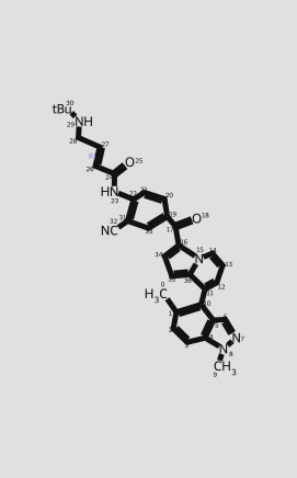 Cc1ccc2c(cnn2C)c1-c1cccn2c(C(=O)c3ccc(NC(=O)/C=C/CNC(C)(C)C)c(C#N)c3)ccc12